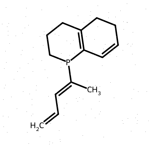 C=C/C=C(\C)P1CCCC2=C1C=CCC2